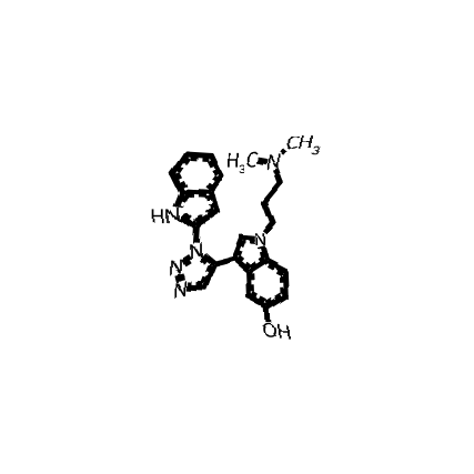 CN(C)CCCn1cc(-c2cnnn2-c2cc3ccccc3[nH]2)c2cc(O)ccc21